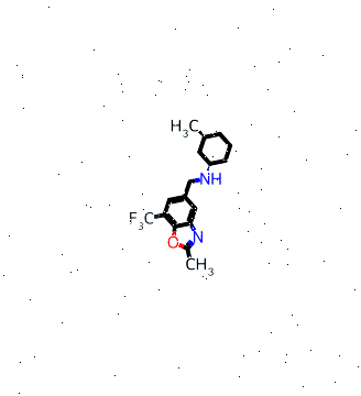 Cc1nc2cc(CN[C@H]3CCC[C@H](C)C3)cc(C(F)(F)F)c2o1